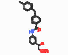 Cc1ccc(Cc2ccc(C(=O)Nc3cccc(C(=O)CO)c3)cc2)cc1